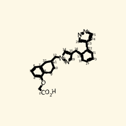 O=C(O)COc1cccc2c1CCC(Cn1cc(Cc3ccccc3-c3ccnnc3)cn1)C2